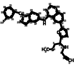 C#CCNC(CSC)c1ccc(-c2ccc3ncnc(Nc4ccc5c(cnn5Cc5cccc(F)c5)c4)c3c2)o1